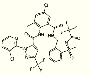 Cc1cc(Cl)cc(C(=O)NCc2ccccc2S(C)(=O)=NC(=O)C(F)(F)F)c1NC(=O)c1cc(C(F)(F)F)nn1-c1ncccc1Cl